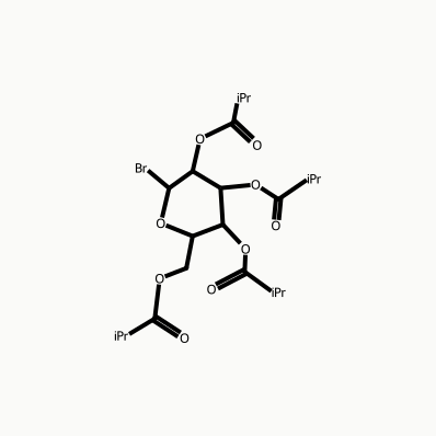 CC(C)C(=O)OCC1OC(Br)C(OC(=O)C(C)C)C(OC(=O)C(C)C)C1OC(=O)C(C)C